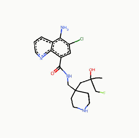 CC(O)(CF)CC1(CNC(=O)c2cc(Cl)c(N)c3cccnc23)CCNCC1